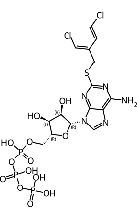 Nc1nc(SCC(C=CCl)=CCl)nc2c1ncn2[C@@H]1O[C@H](COP(=O)(O)OP(=O)(O)OP(=O)(O)O)[C@@H](O)[C@H]1O